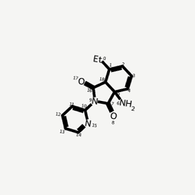 CCC1=CC=CC2(N)C(=O)N(c3ccccn3)C(=O)C12